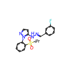 CC(C)S(=O)(=O)c1ccccc1-n1nccc1N/N=C/c1cccc(F)c1